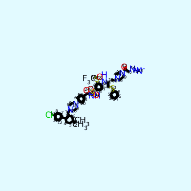 CC1(C)CCC(c2ccc(Cl)cc2)=C(CN2CCN(c3ccc(C(=O)NS(=O)(=O)c4ccc(N[C@H](CCN5CCN(C(=O)CN=[N+]=[N-])CC5)CSc5ccccc5)c([S+]([O-])C(F)(F)F)c4)cc3)CC2)C1